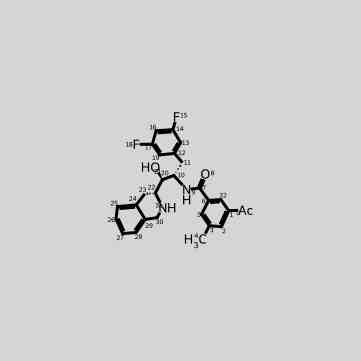 CC(=O)c1cc(C)cc(C(=O)N[C@@H](Cc2cc(F)cc(F)c2)[C@H](O)[C@H]2Cc3ccccc3CN2)c1